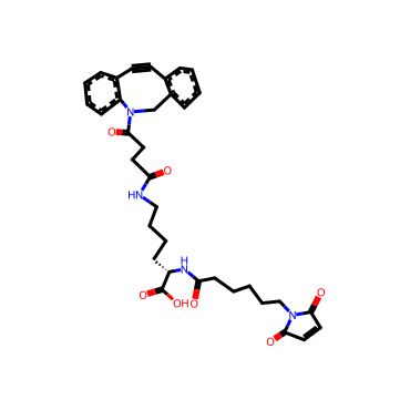 O=C(CCC(=O)N1Cc2ccccc2C#Cc2ccccc21)NCCCC[C@H](NC(=O)CCCCCN1C(=O)C=CC1=O)C(=O)O